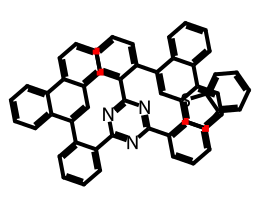 c1ccc(-c2cc3ccccc3c3ccccc23)c(-c2nc(-c3ccccc3-c3cc4ccccc4c4ccccc34)nc(-c3cccc4c3sc3ccccc34)n2)c1